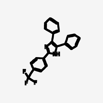 FC(F)(F)c1ccc(-c2nc(-c3ccccc3)c(-c3ccccc3)[nH]2)cc1